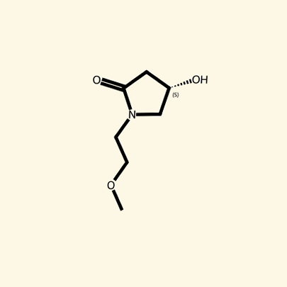 COCCN1C[C@@H](O)CC1=O